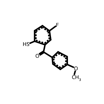 COc1ccc(C(=O)c2cc(F)ccc2S)cc1